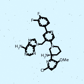 COc1ccc(Cl)nc1[C@@]1(N)CCCN(c2cnc(-c3ccc(F)c(F)c3)cc2Cn2cnc3c(N)ncnc32)C1